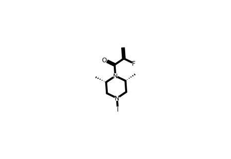 C=C(F)C(=O)N1[C@H](C)CN(I)C[C@@H]1C